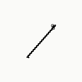 C=CC(=O)OCCCCCCCCCCCCCCCCCCCCCCCCCCCCCC(C)C